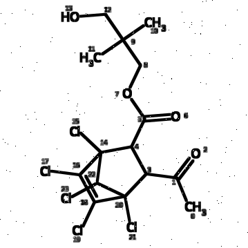 CC(=O)C1C(C(=O)OCC(C)(C)CO)C2(Cl)C(Cl)=C(Cl)C1(Cl)C2Cl